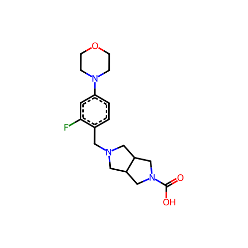 O=C(O)N1CC2CN(Cc3ccc(N4CCOCC4)cc3F)CC2C1